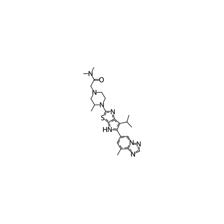 Cc1cc(-c2[nH]c3sc(N4CCN(CC(=O)N(C)C)CC4C)nc3c2C(C)C)cn2ncnc12